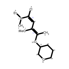 CCN(C)/C(Cl)=C\C(OC)=C(/C)OC1CCCOC1